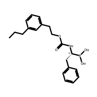 CCCc1cccc(CCOC(=O)N[C@@H](Cc2ccccc2)B(O)O)c1